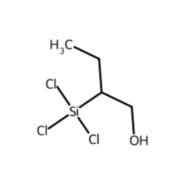 CCC(CO)[Si](Cl)(Cl)Cl